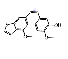 COc1ccc(/C=C\c2cc(OC)c3ccsc3c2)cc1O